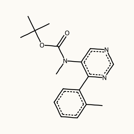 Cc1ccccc1-c1ncncc1N(C)C(=O)OC(C)(C)C